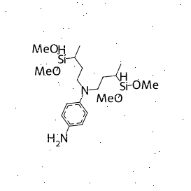 CO[SiH](OC)C(C)CCN(CCC(C)[SiH](OC)OC)c1ccc(N)cc1